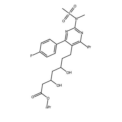 CCCOC(=O)CC(O)CC(O)CCc1c(-c2ccc(F)cc2)nc(N(C)S(C)(=O)=O)nc1C(C)C